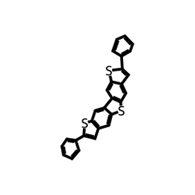 c1ccc(-c2cc3cc4sc5cc6cc(-c7ccccc7)sc6cc5c4cc3s2)cc1